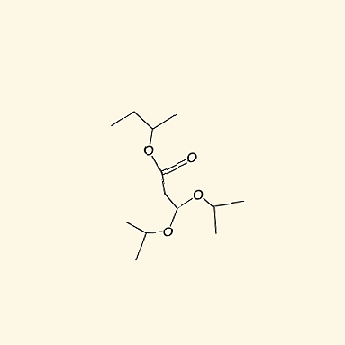 CCC(C)OC(=O)CC(OC(C)C)OC(C)C